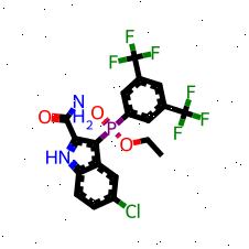 CCOP(=O)(c1cc(C(F)(F)F)cc(C(F)(F)F)c1)c1c(C(N)=O)[nH]c2ccc(Cl)cc12